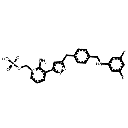 Nc1c(-c2cc(Cc3ccc(CNc4cc(F)cc(F)c4)cc3)no2)ccc[n+]1COP(=O)([O-])O